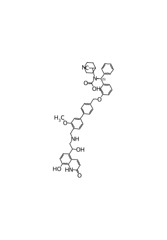 COc1cc(-c2ccc(COc3cccc([C@H](c4ccccc4)N(C(=O)O)C4CN5CCC4CC5)c3)cc2)ccc1CNCC(O)c1ccc(O)c2[nH]c(=O)ccc12